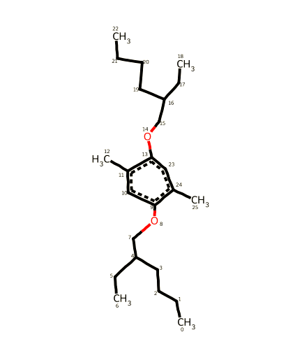 CCCCC(CC)COc1cc(C)c(OCC(CC)CCCC)cc1C